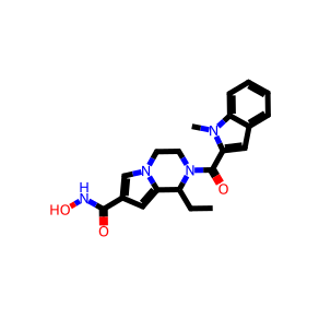 CCC1c2cc(C(=O)NO)cn2CCN1C(=O)c1cc2ccccc2n1C